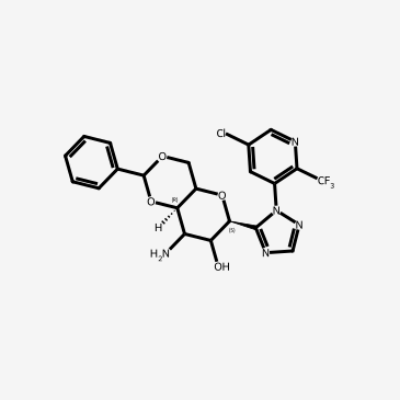 NC1C(O)[C@H](c2ncnn2-c2cc(Cl)cnc2C(F)(F)F)OC2COC(c3ccccc3)O[C@@H]21